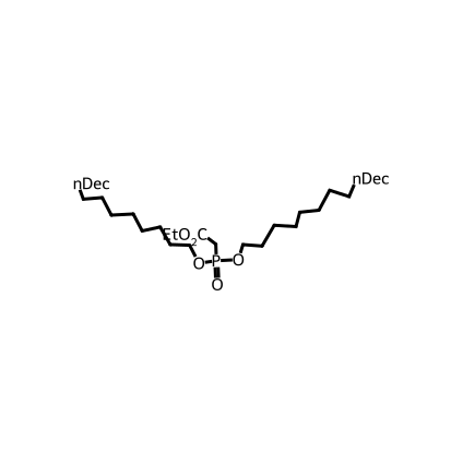 CCCCCCCCCCCCCCCCCCOP(=O)(CC(=O)OCC)OCCCCCCCCCCCCCCCCCC